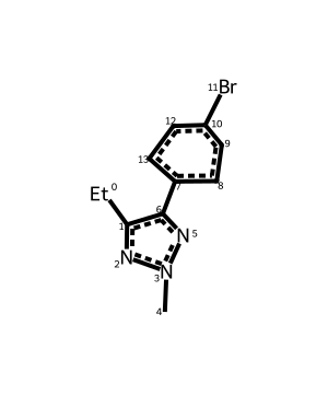 CCc1nn(C)nc1-c1ccc(Br)cc1